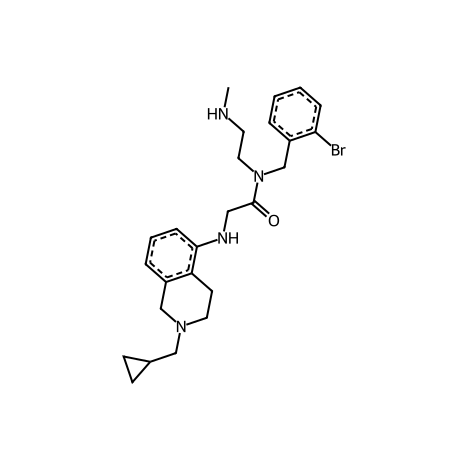 CNCCN(Cc1ccccc1Br)C(=O)CNc1cccc2c1CCN(CC1CC1)C2